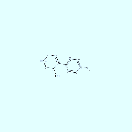 Oc1ccc(C2=CCNCC2O)cc1